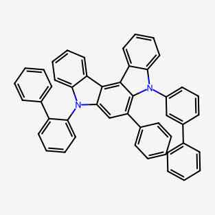 c1ccc(-c2cccc(-n3c4ccccc4c4c5c6ccccc6n(-c6ccccc6-c6ccccc6)c5cc(-c5ccccc5)c43)c2)cc1